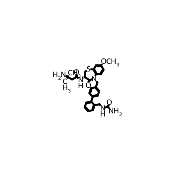 COc1ccc2c(c1)SC[C@@H](NC(=O)CC(C)(C)N)C(=O)N2Cc1ccc(-c2ccccc2CNC(N)=O)cc1